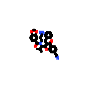 CC(C)C(c1oc2cc(C#N)ccc2c(=O)c1Cc1ccccc1)N(CCCN)C(=O)c1ccc2c(c1)OCO2